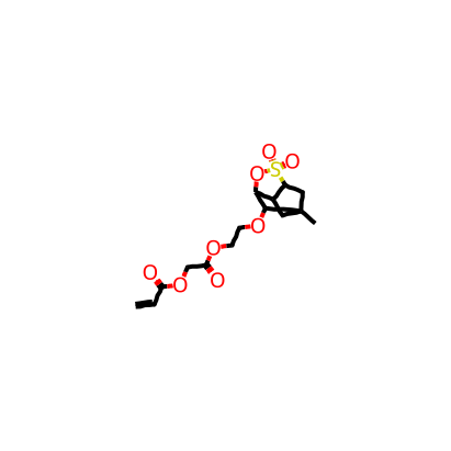 C=CC(=O)OCC(=O)OCCOC1C2OS(=O)(=O)C3CC1(C)CC23